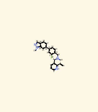 C=Cc1ncccc1CN(C)Cc1ccc(-c2ccc3cnn(C)c3c2)cc1F